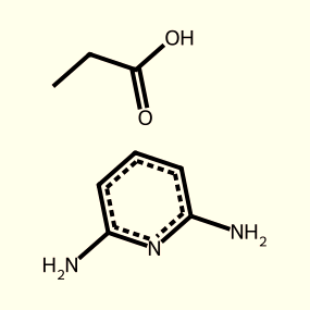 CCC(=O)O.Nc1cccc(N)n1